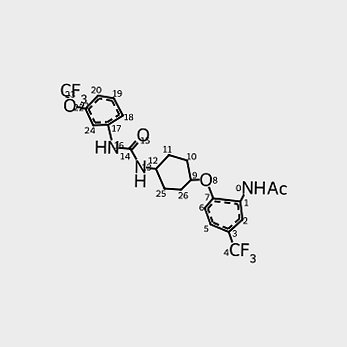 CC(=O)Nc1cc(C(F)(F)F)ccc1OC1CCC(NC(=O)Nc2cccc(OC(F)(F)F)c2)CC1